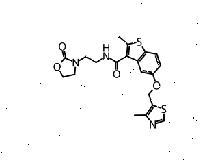 Cc1ncsc1COc1ccc2sc(C)c(C(=O)NCCN3CCOC3=O)c2c1